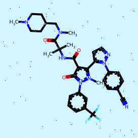 CN1CCC(CN(C)C(=O)C(C)(C)NC(=O)c2c(-c3ccnn3-c3ccc(C#N)cc3)n(C)n(-c3cccc(C(F)(F)F)c3)c2=O)CC1